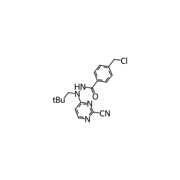 CC(C)(C)CN(NC(=O)c1ccc(CCl)cc1)c1ccnc(C#N)n1